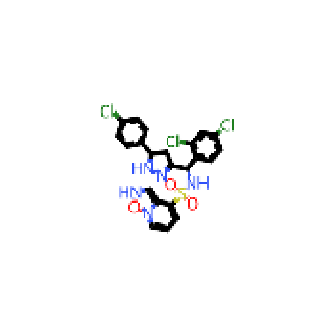 O=S(=O)(N[C@@H](C1=NNC(c2ccc(Cl)cc2)C1)c1ccc(Cl)cc1Cl)C1=CC=CN2ONC=C12